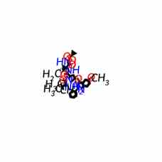 C=C[C@@H]1C[C@]1(NC(=O)C1C[C@@H](Oc2nc(-c3ccccc3)nc3ccc(OC)cc23)CN1C(=O)[C@@H](N)C(C)(C)C)C(=O)NS(=O)(=O)C1CC1